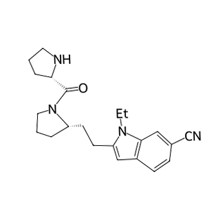 CCn1c(CC[C@@H]2CCCN2C(=O)[C@@H]2CCCN2)cc2ccc(C#N)cc21